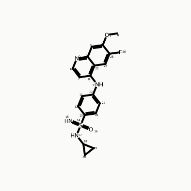 COc1cc2nccc(Nc3ccc(S(=N)(=O)NC4CC4)cc3)c2cc1F